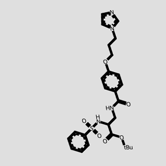 CC(C)(C)OC(=O)C(CNC(=O)c1ccc(OCCCn2ccnc2)cc1)NS(=O)(=O)c1ccccc1